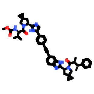 COC(=O)N[C@H](C(=O)N1CC2(CC2)C[C@H]1c1ncc(-c2ccc(C#Cc3ccc4nc([C@@H]5CC6(CC6)CN5C(=O)[C@@H](C)[C@@H](C)c5ccccc5)[nH]c4c3)cc2)[nH]1)C(C)C